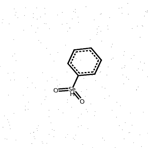 O=[SeH](=O)c1ccccc1